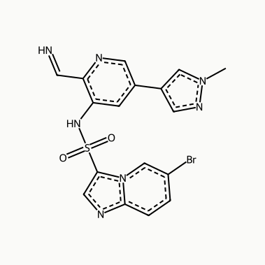 Cn1cc(-c2cnc(C=N)c(NS(=O)(=O)c3cnc4ccc(Br)cn34)c2)cn1